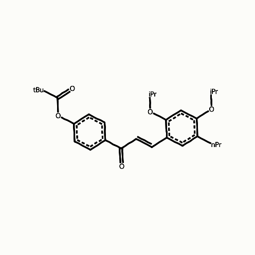 CCCc1cc(/C=C/C(=O)c2ccc(OC(=O)C(C)(C)C)cc2)c(OC(C)C)cc1OC(C)C